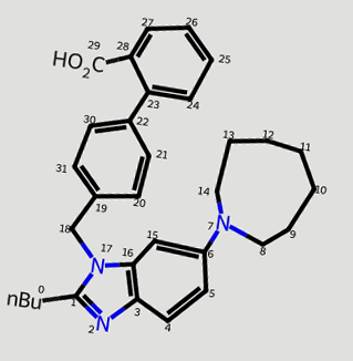 CCCCc1nc2ccc(N3CCCCCCC3)cc2n1Cc1ccc(-c2ccccc2C(=O)O)cc1